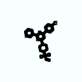 C=CS(=O)(=O)N1CCN(c2cc(-c3ccc(Cl)cc3)nc(-c3cccnc3)n2)CC1